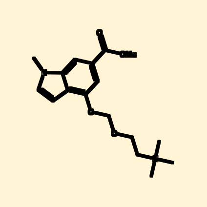 COC(=O)c1cc(OCOCC[Si](C)(C)C)c2ccn(C)c2c1